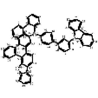 c1ccc(-c2ccccc2N(c2ccc(-c3cccc(-n4c5ccccc5c5ccccc54)c3)cc2)c2cccc(-c3ccc4c(oc5ccccc54)c3-c3ccccc3)c2)cc1